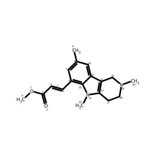 COC(=O)/C=C/c1cc(C)cc2c3c(n(C)c12)CCN(C)C3